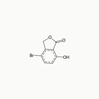 O=C1OCc2c(Br)ccc(O)c21